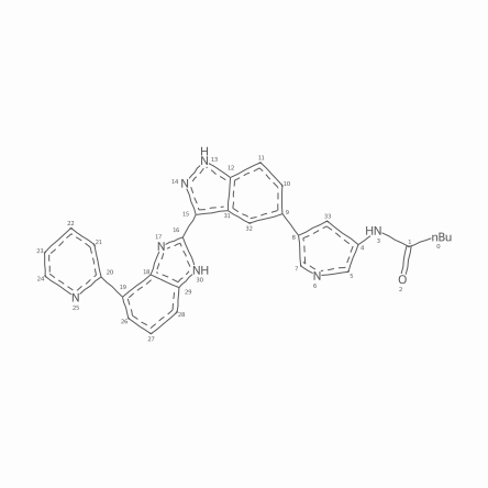 CCCCC(=O)Nc1cncc(-c2ccc3[nH]nc(-c4nc5c(-c6ccccn6)cccc5[nH]4)c3c2)c1